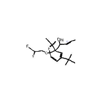 C/C=C/C(O)C1(C(C)(C)C)C=C(C(C)(C)C)C=CC1(F)OCC(F)F